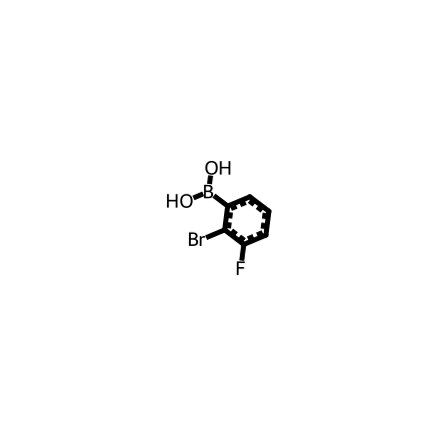 OB(O)c1cccc(F)c1Br